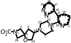 CCOC(=O)N1CC2(CC(N3CCN(c4ncccc4-c4cccnn4)CC3)CO2)C1